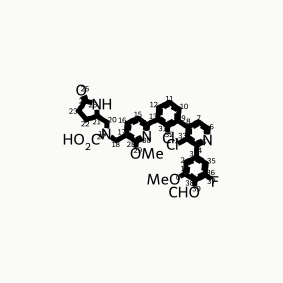 COc1cc(-c2nccc(-c3cccc(-c4ccc(CN(CC5CCC(=O)N5)C(=O)O)c(OC)n4)c3Cl)c2Cl)cc(F)c1C=O